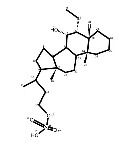 CC[C@H]1[C@@H](O)C2C3CCC(C(C)CCOS(=O)(=O)O)[C@@]3(C)CCC2[C@@]2(C)CCCC[C@@H]12